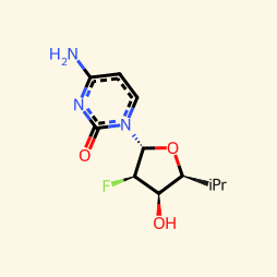 CC(C)[C@@H]1O[C@@H](n2ccc(N)nc2=O)[C@H](F)[C@@H]1O